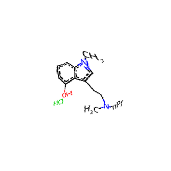 CCCN(C)CCc1cn(C)c2cccc(O)c12.Cl